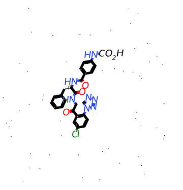 O=C(O)Nc1ccc(C(=O)N[C@@H](Cc2ccccc2)C(=O)NCC(=O)c2cc(Cl)ccc2-n2cnnn2)cc1